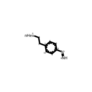 CCCCCCCCc1ccc(N=N)cc1